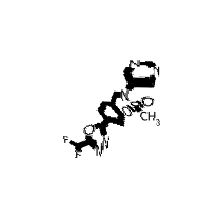 CS(=O)(=O)N(Cc1ccc(-c2nnc(C(F)F)o2)cc1)c1cncnc1